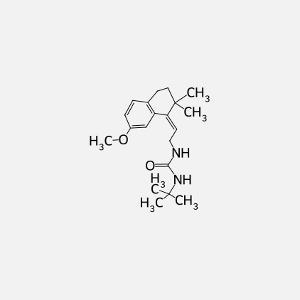 COc1ccc2c(c1)C(=CCNC(=O)NC(C)(C)C)C(C)(C)CC2